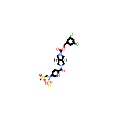 CS(=O)(=O)CN(c1ccc(C(=O)N2C[C@H]3CN(C(=O)OCc4cc(Cl)cc(Cl)c4)C[C@H]3C2)nc1)[SH](=O)=O